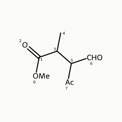 COC(=O)C(C)C(C=O)C(C)=O